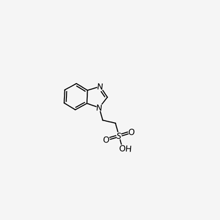 O=S(=O)(O)CCn1cnc2ccccc21